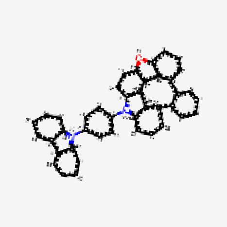 c1ccc2c(c1)c1cccc3oc4ccc5c(c4c31)c1c2cccc1n5-c1ccc(-n2c3ccccc3c3ccccc32)cc1